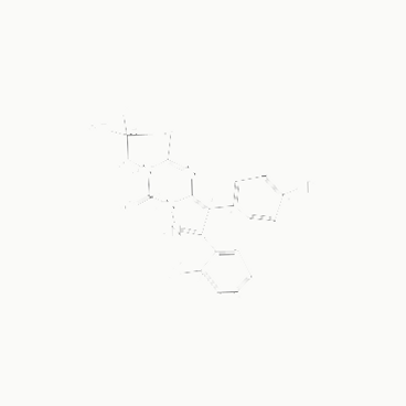 Cc1nc2c(-c3ccc(Cl)cc3)c(-c3ccccc3Cl)nn2c(=O)n1CC(C)(F)F